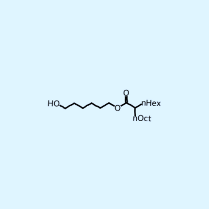 CCCCCCCCC(CCCCCC)C(=O)OCCCCCCO